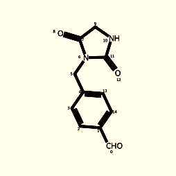 O=Cc1ccc(CN2C(=O)CNC2=O)cc1